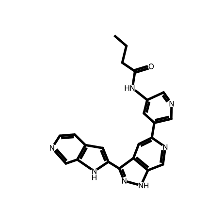 CCCC(=O)Nc1cncc(-c2cc3c(-c4cc5ccncc5[nH]4)n[nH]c3cn2)c1